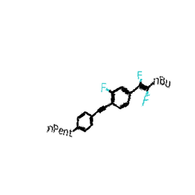 CCCCCc1ccc(C#Cc2ccc(C(F)=C(F)CCCC)cc2F)cc1